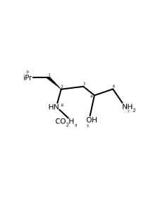 CC(C)C[C@@H](CC(O)CN)NC(=O)O